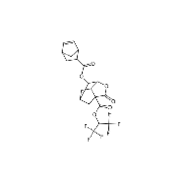 O=C(OC1C2CC3C1OC(=O)C3(C(=O)OC(C(F)(F)F)C(F)(F)F)C2)C1CC2C=CC1C2